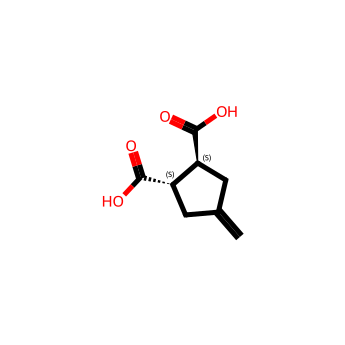 C=C1C[C@H](C(=O)O)[C@@H](C(=O)O)C1